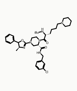 CCC(C)N[C@H](CCCCN1CCCCC1)C(=O)N1CCN(C2=N[C@@H](C)C(c3ccccc3)O2)C[C@H]1C(=O)NCc1cccc(Cl)c1